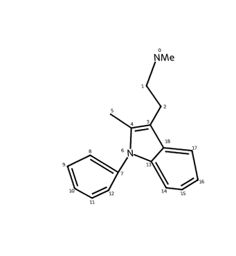 CNCCc1c(C)n(-c2ccccc2)c2ccccc12